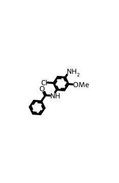 COc1cc(NC(=O)c2ccccc2)c(Cl)cc1N